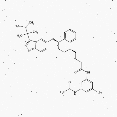 CN(C)C(C)(C)c1nnc2ccc(O[C@@H]3CC[C@H](CCCC(=O)Nc4cc(NC(=O)C(F)(F)F)cc(C(C)(C)C)c4)c4ccccc43)cn12